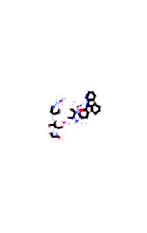 CO/N=C(\C(=O)NOC(=O)C1=C(CSc2cc[n+](N(C)C(N)=O)cc2)CS[C@H]2CC(=O)N12)c1csc(NC(c2ccccc2)(c2ccccc2)c2ccccc2)n1.[I-]